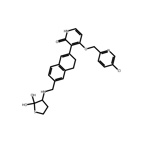 O=c1[nH]ccc(OCc2ccc(Cl)cn2)c1C1=Cc2ccc(CNC3CCSC3(O)O)cc2CC1